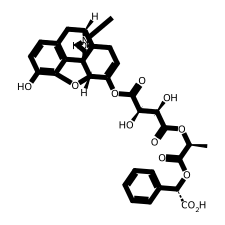 C[C@H](OC(=O)[C@H](O)[C@@H](O)C(=O)OC1=CC[C@@]2(O)[C@H]3Cc4ccc(O)c5c4[C@@]2(CCN3C)[C@H]1O5)C(=O)O[C@H](C(=O)O)c1ccccc1